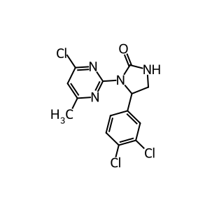 Cc1cc(Cl)nc(N2C(=O)NCC2c2ccc(Cl)c(Cl)c2)n1